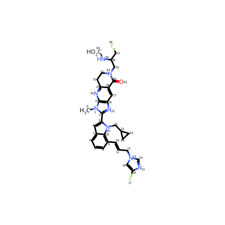 Cn1c(-c2cc3cccc(/C=C/Cn4cnc(F)c4)c3n2CC2CC2)nc2cc3c(nc21)CCN(CC(CF)NC(=O)O)C3=O